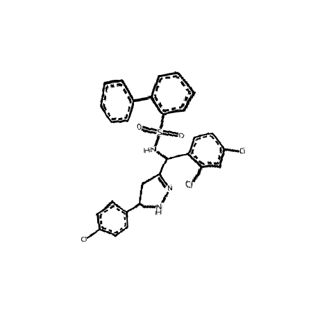 O=S(=O)(NC(C1=NNC(c2ccc(Cl)cc2)C1)c1ccc(Cl)cc1Cl)c1ccccc1-c1ccccc1